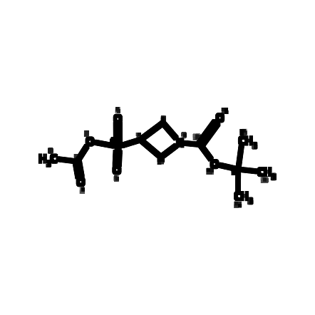 CC(=O)OS(=O)(=O)C1CN(C(=O)OC(C)(C)C)C1